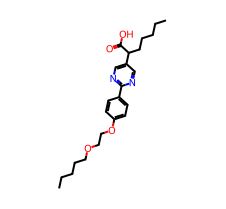 CCCCCOCCOc1ccc(-c2ncc(C(CCCCC)C(=O)O)cn2)cc1